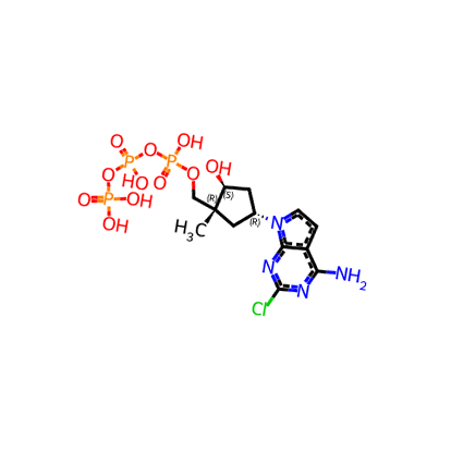 C[C@]1(COP(=O)(O)OP(=O)(O)OP(=O)(O)O)C[C@@H](n2ccc3c(N)nc(Cl)nc32)C[C@@H]1O